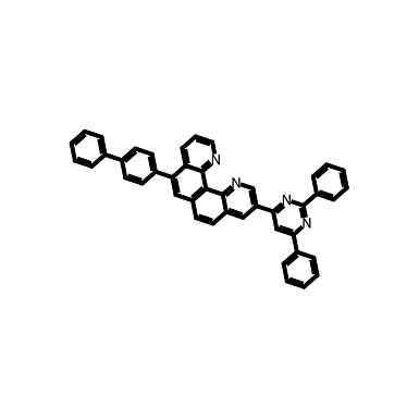 c1ccc(-c2ccc(-c3cc4ccc5cc(-c6cc(-c7ccccc7)nc(-c7ccccc7)n6)cnc5c4c4ncccc34)cc2)cc1